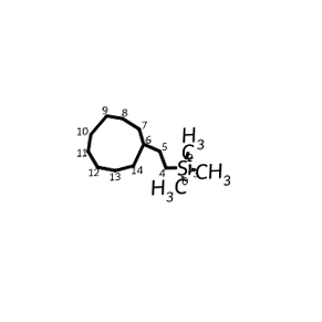 C[Si](C)(C)CCC1CCCCCCCC1